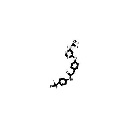 CC(=O)Nc1cc(Oc2ccc(CC(=O)Nc3ccc(C(F)(F)F)cc3)cc2)ncn1